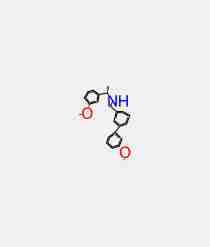 COc1cccc(-c2cccc(CN[C@H](C)c3cccc(OC)c3)c2)c1